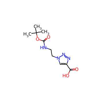 CC(C)(C)OC(=O)NCCn1cc(C(=O)O)nn1